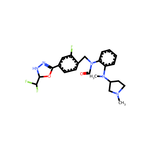 CN1CCC(N(C)c2ccccc2N(C=O)Cc2ccc(C3=NNC(C(F)F)O3)cc2F)C1